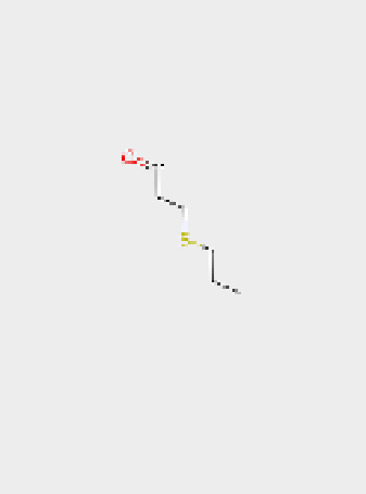 CCCSCC[C]=O